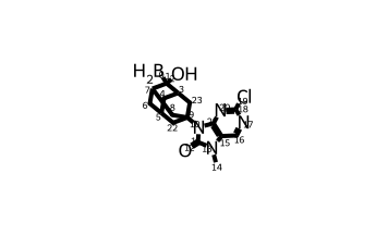 BC1(O)C2CC3CC1CC(n1c(=O)n(C)c4cnc(Cl)nc41)(C3)C2